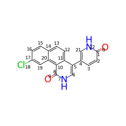 O=c1ccc(-c2c[nH]c(=O)c3c2ccc2ccc(Cl)cc23)c[nH]1